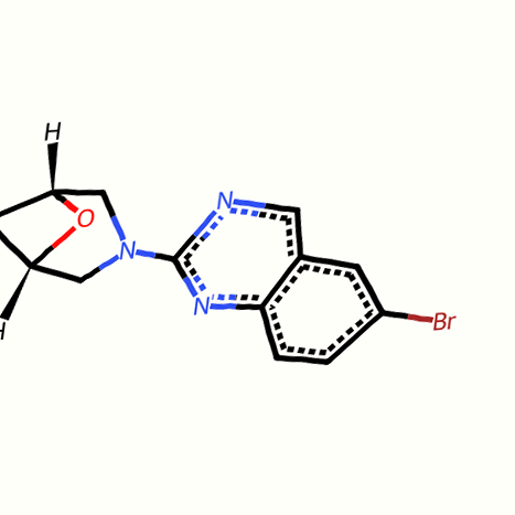 Brc1ccc2nc(N3C[C@H]4C[C@@H](C3)O4)ncc2c1